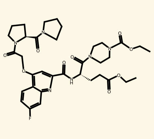 CCOC(=O)CC[C@H](NC(=O)c1cc(OCC(=O)N2CCC[C@H]2C(=O)N2CCCC2)c2ccc(F)cc2n1)C(=O)N1CCN(C(=O)OCC)CC1